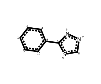 [c]1cccc(-c2nncs2)c1